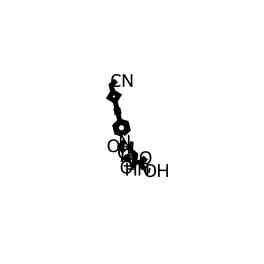 CC(CC1CN(c2ccc(C#CC3CC(CC#N)C3)cc2)C(=O)O1)(C(=O)NO)S(C)(=O)=O